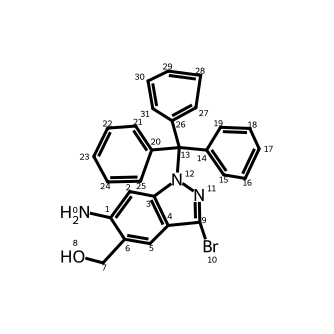 Nc1cc2c(cc1CO)c(Br)nn2C(c1ccccc1)(c1ccccc1)c1ccccc1